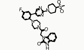 CS(=O)(=O)C1CCN(c2ncc(-c3cc(F)ccc3N3CCN(C(=O)Cn4c(=O)[nH]c5ccccc54)CC3)cn2)CC1